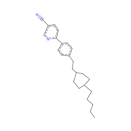 CCCCCC1CCC(CCc2ccc(-c3ccc(C#N)cn3)cc2)CC1